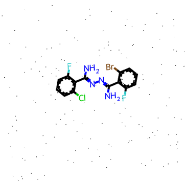 N/C(=N\N=C(/N)c1c(F)cccc1Br)c1c(F)cccc1Cl